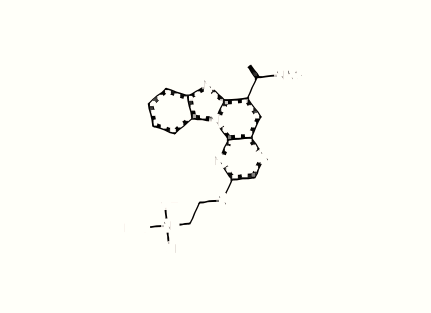 CNC(=O)c1cc2ncc(NCC[N+](C)(C)C)nc2n2c1nc1ccccc12